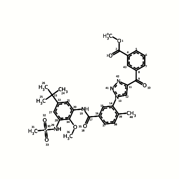 COC(=O)c1cccc(C(=O)c2cn(-c3cc(C(=O)Nc4cc(C(C)(C)C)cc(NS(C)(=O)=O)c4OC)ccc3C)nn2)c1